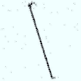 CCP(#I)S(=S)(=S)SSSSSSSSSSSSSSSSSSSSSSSSSSSSSSSSSSSSSSSSSSSSSSSSSSSSSSSSSSSSSSSSSS